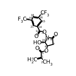 C=C(C)C(=O)OC1CC(=O)N(OC(=O)c2cc(C(F)(F)F)cc(C(F)(F)F)c2)C1O